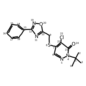 CC(C)(C)n1ncc(SCc2nc(-c3ccccc3)no2)c(Cl)c1=O